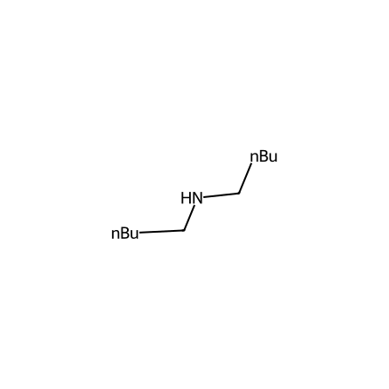 [CH]CCCCNCCCCC